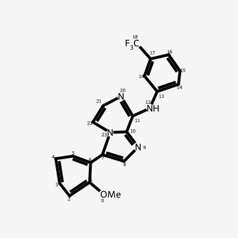 COc1ccccc1-c1cnc2c(Nc3cccc(C(F)(F)F)c3)nccn12